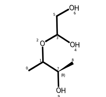 CC(OC(O)CO)[C@@H](C)O